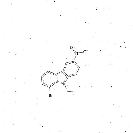 CCn1c2ccc([N+](=O)[O-])cc2c2cccc(Br)c21